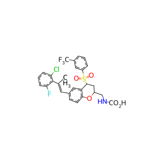 CC(=Cc1ccc2c(c1)C(S(=O)(=O)c1cccc(C(F)(F)F)c1)CC(CNC(=O)O)O2)c1c(F)cccc1Cl